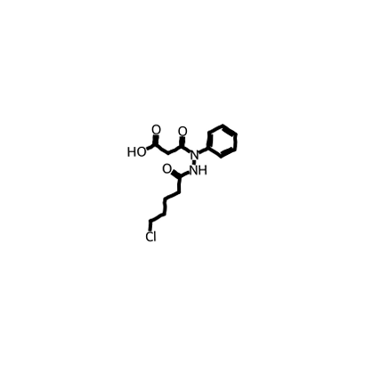 O=C(O)CC(=O)N(NC(=O)CCCCCl)c1ccccc1